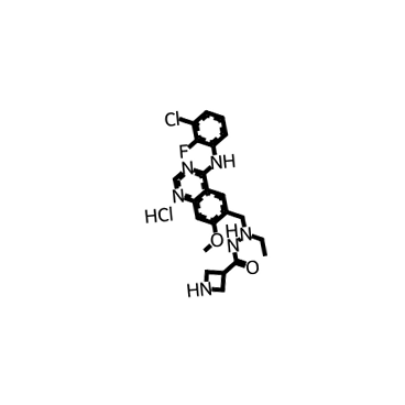 CCN(Cc1cc2c(Nc3cccc(Cl)c3F)ncnc2cc1OC)NC(=O)C1CNC1.Cl